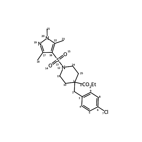 CCOC(=O)C1(Cc2ccc(Cl)cc2)CCN(S(=O)(=O)c2c(C)nn(C)c2C)CC1